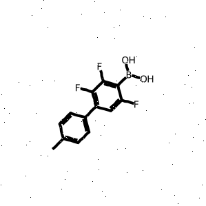 Cc1ccc(-c2cc(F)c(B(O)O)c(F)c2F)cc1